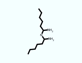 CCCCCC(N)[N]C(N)CCCCC